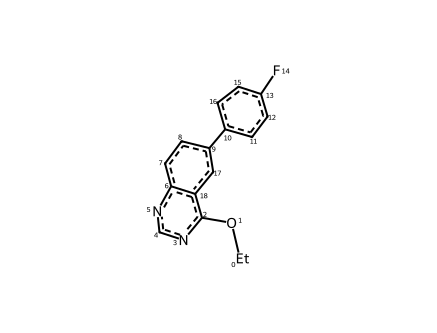 CCOc1ncnc2ccc(-c3ccc(F)cc3)cc12